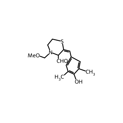 COCN1CCSC(=Cc2cc(C)c(O)c(C)c2)C1C=O